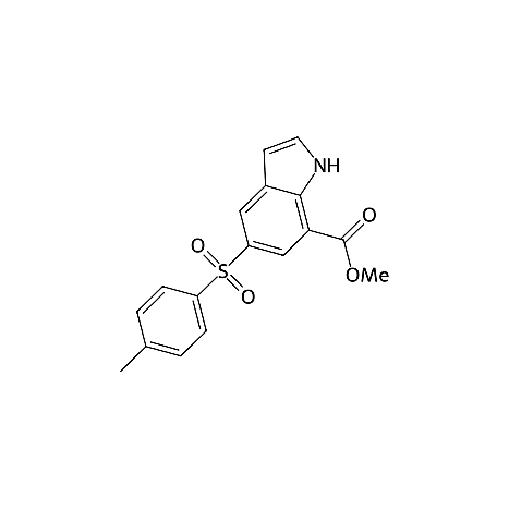 COC(=O)c1cc(S(=O)(=O)c2ccc(C)cc2)cc2cc[nH]c12